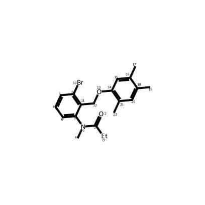 CCC(=O)N(C)c1cccc(Br)c1COc1cc(C)c(C)cc1C